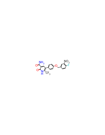 NC(=O)c1cc(-c2ccc(OCc3ccc(F)c([N+](=O)[O-])c3)cc2)c(C(F)(F)F)[nH]c1=O